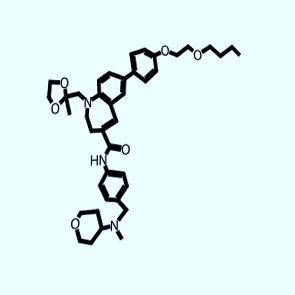 CCCCOCCOc1ccc(-c2ccc3c(c2)C=C(C(=O)Nc2ccc(CN(C)C4CCOCC4)cc2)CCN3CC2(C)OCCO2)cc1